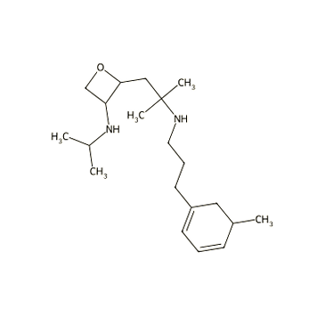 CC1C=CC=C(CCCNC(C)(C)CC2OCC2NC(C)C)C1